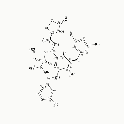 CCCC(CCC)S(=O)(=O)C[C@H](NC(=O)[C@H]1CCC(=O)N1)C(=O)N[C@@H](Cc1cc(F)cc(F)c1)[C@H](O)CNCc1cccc(CC)c1.Cl